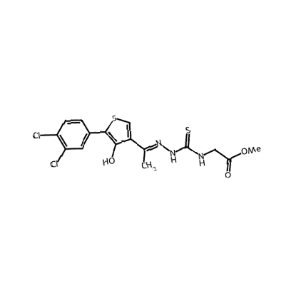 COC(=O)CNC(=S)N/N=C(\C)c1csc(-c2ccc(Cl)c(Cl)c2)c1O